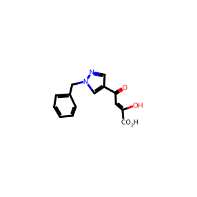 O=C(O)C(O)=CC(=O)c1cnn(Cc2ccccc2)c1